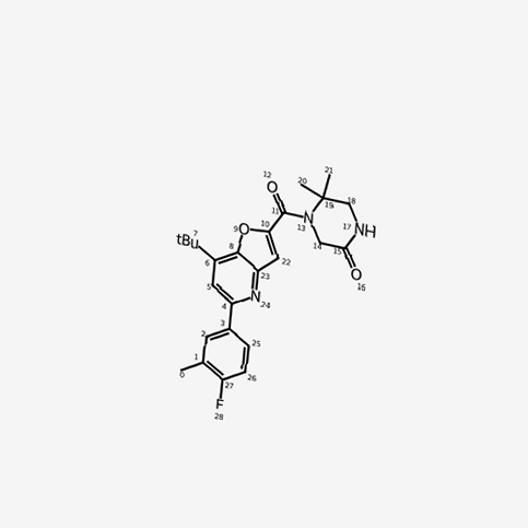 Cc1cc(-c2cc(C(C)(C)C)c3oc(C(=O)N4CC(=O)NCC4(C)C)cc3n2)ccc1F